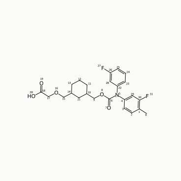 Cc1ccc(N(C(=O)OCC2CCCC(COCC(=O)O)C2)c2cccc(F)c2)cc1F